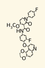 COc1ccn(-c2ccc(F)cc2)c(=O)c1C(=O)Nc1ccc(Oc2ccnc3ccc4c(c23)OCCO4)c(F)c1